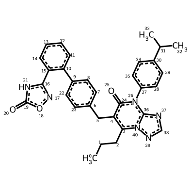 CCCc1c(Cc2ccc(-c3ccccc3-c3noc(=O)[nH]3)cc2)c(=O)n(-c2ccc(C(C)C)cc2)c2ncnn12